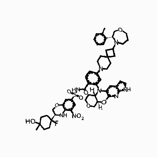 Cc1ccccc1[C@@H]1COCCCN1C1CC2(CCN(c3ccc(C(=O)NS(=O)(=O)c4cc5c(c([N+](=O)[O-])c4)N[C@@H](C4(F)CCC(C)(O)CC4)CO5)c(N4c5cc6cc[nH]c6nc5O[C@H]5COCC[C@@H]54)c3)CC2)C1